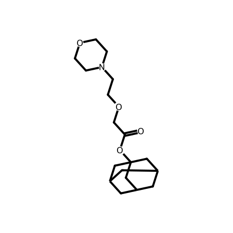 O=C(COCCN1CCOCC1)OC12CC3CC(CC(C3)C1)C2